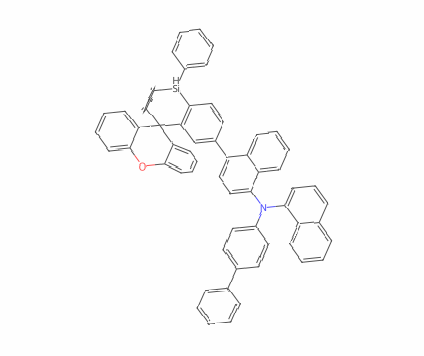 c1ccc(-c2ccc(N(c3cccc4ccccc34)c3ccc(-c4ccc5c(c4)C4(c6ccccc6Oc6ccccc64)c4ccccc4[SiH]5c4ccccc4)c4ccccc34)cc2)cc1